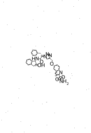 NS(=O)(=O)c1nc2ccc(OCc3cn([C@@H](Cc4ccccc4)C(=O)NC4c5ccccc5C[C@@H]4O)nn3)cc2s1